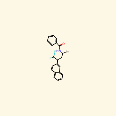 CCC(CC(c1ccc2ccccc2c1)C(F)F)NC(=O)c1ccccc1